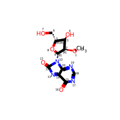 CO[C@@H]1[C@H](O)[C@@H](CO)O[C@H]1N1C(=O)N=C2C(=O)N=CN=C21